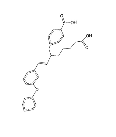 O=C(O)CCCCC(/C=C/c1cccc(Oc2ccccc2)c1)Cc1ccc(C(=O)O)cc1